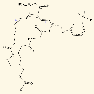 CC(C)OC(=O)CCC/C=C\C[C@@H]1[C@@H](/C=C/[C@H](COc2cccc(C(F)(F)F)c2)OC(=O)CNC(=O)CCCCCO[N+](=O)[O-])[C@H](O)C[C@@H]1O